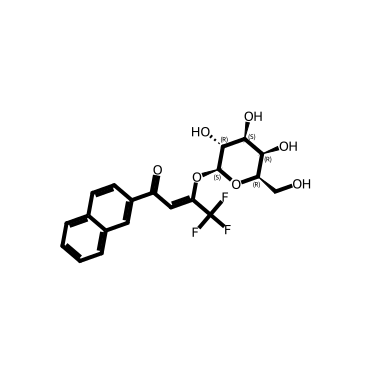 O=C(C=C(O[C@@H]1O[C@H](CO)[C@H](O)[C@H](O)[C@H]1O)C(F)(F)F)c1ccc2ccccc2c1